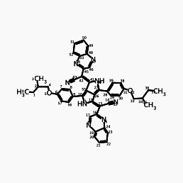 CCC(C)COc1ccc(-c2[nH]/c(=C(/C#N)c3cnc4ccccc4n3)c3c(-c4ccc(OCC(C)CC)cc4)[nH]/c(=C(/C#N)c4cnc5ccccc5n4)c23)cc1